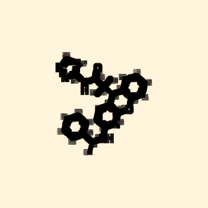 C[C@H](Nc1ccc2c(n1)Oc1ccccc1[C@@H]2C(C)(C)C(=O)Nc1nncs1)c1ccccc1